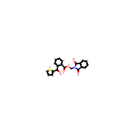 O=C(OCN1C(=O)c2ccccc2C1=O)c1ccccc1C(=O)c1cccs1